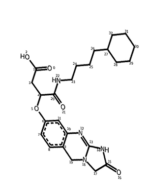 O=C(O)CC(Oc1ccc2c(c1)N=C1NC(=O)CN1C2)C(=O)NCCCCC1CCCCC1